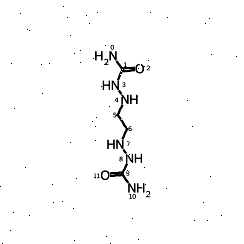 NC(=O)NNCCNNC(N)=O